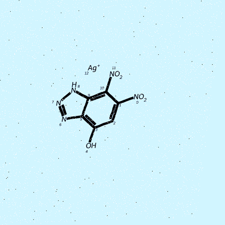 O=[N+]([O-])c1cc(O)c2nn[nH]c2c1[N+](=O)[O-].[Ag+]